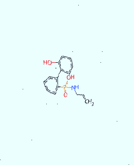 C=CCNP(=O)(O)c1ccccc1-c1ccccc1O